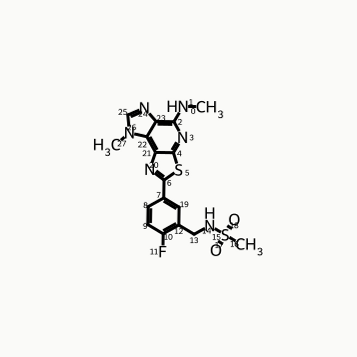 CNc1nc2sc(-c3ccc(F)c(CNS(C)(=O)=O)c3)nc2c2c1ncn2C